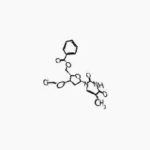 Cc1cn([C@H]2CC(OCCl)[C@@H](COC(=O)c3ccccc3)O2)c(=O)[nH]c1=O